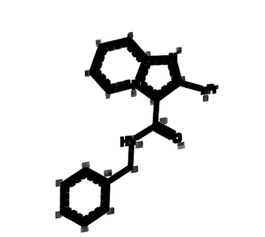 CCCc1nc2ccccn2c1C(=O)NCc1ccccc1